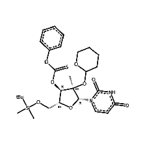 CC(C)(C)[Si](C)(C)OC[C@H]1O[C@@H](n2ccc(=O)[nH]c2=O)[C@](C)(OC2CCCCO2)[C@@H]1OC(=S)Oc1ccccc1